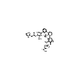 C=C1CC[C@@H](CNCc2ncc(-c3cccc(-c4cccc(-c5cnc(CNCc6ncccn6)c(OC)n5)c4Cl)c3Cl)nc2OC)N1